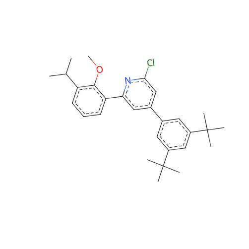 COc1c(-c2cc(-c3cc(C(C)(C)C)cc(C(C)(C)C)c3)cc(Cl)n2)cccc1C(C)C